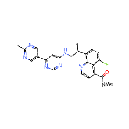 CNC(=O)c1ccnc2c([C@H](C)CNc3cc(-c4cnc(C)nc4)ncn3)ccc(F)c12